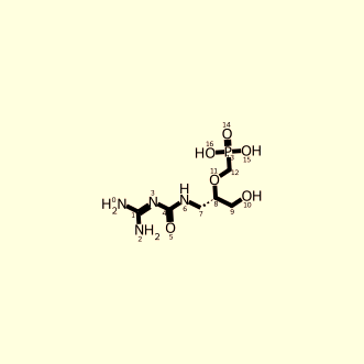 NC(N)=NC(=O)NC[C@@H](CO)OCP(=O)(O)O